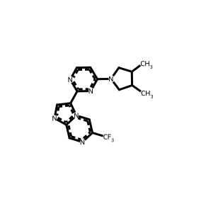 CC1CN(c2ccnc(-c3cnc4cnc(C(F)(F)F)cn34)n2)CC1C